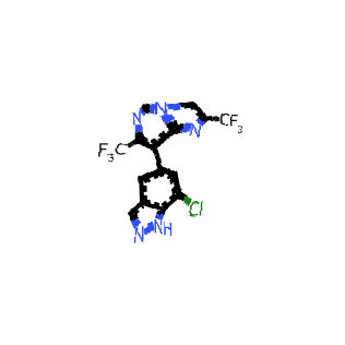 FC(F)(F)c1cn2cnc(C(F)(F)F)c(-c3cc(Cl)c4[nH]ncc4c3)c2n1